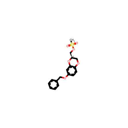 CS(=O)(=O)OC[C@H]1COc2ccc(OCc3ccccc3)cc2O1